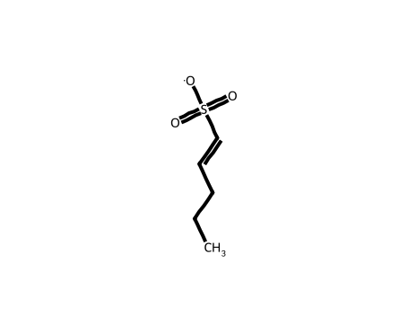 CCCC=CS([O])(=O)=O